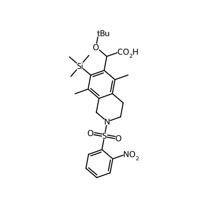 Cc1c2c(c(C)c([Si](C)(C)C)c1C(OC(C)(C)C)C(=O)O)CN(S(=O)(=O)c1ccccc1[N+](=O)[O-])CC2